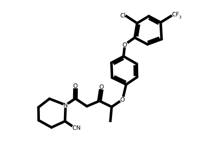 CC(Oc1ccc(Oc2ccc(C(F)(F)F)cc2Cl)cc1)C(=O)CC(=O)N1CCCCC1C#N